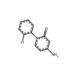 Nc1ccn(-c2ccccc2Cl)c(=O)c1